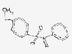 CCc1ccc(S(=O)(=O)Nc2cc[c]cc2)cc1